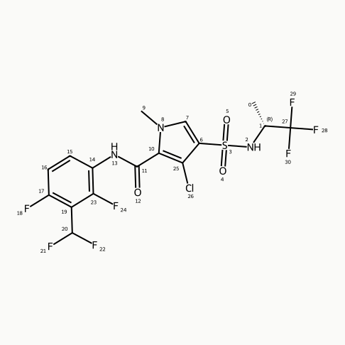 C[C@@H](NS(=O)(=O)c1cn(C)c(C(=O)Nc2ccc(F)c(C(F)F)c2F)c1Cl)C(F)(F)F